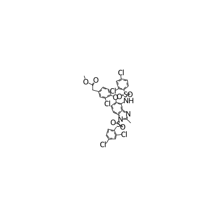 COC(=O)Cc1ccc(Oc2ccc3c(nc(C)n3S(=O)(=O)c3ccc(Cl)cc3Cl)c2NS(=O)(=O)c2ccc(Cl)cc2Cl)c(Cl)c1